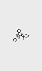 O=C(NN1CCOCC1)c1sc(-c2ccccc2)nc1-c1ccccc1